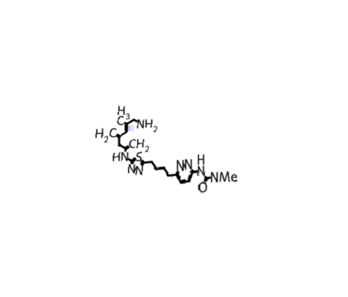 C=C(/C=C(\C)CN)CC(=C)Nc1nnc(CCCCc2ccc(NC(=O)NC)nn2)s1